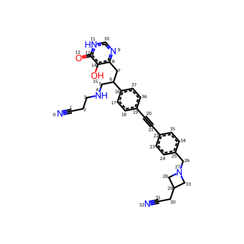 N#CCCNCC(Cc1nc[nH]c(=O)c1O)c1ccc(C#Cc2ccc(CN3CC(CC#N)C3)cc2)cc1